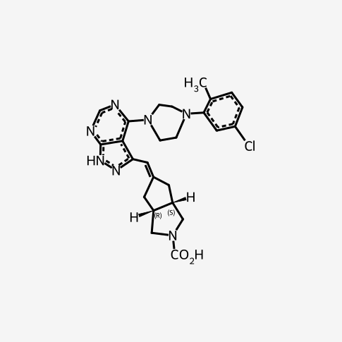 Cc1ccc(Cl)cc1N1CCN(c2ncnc3[nH]nc(C=C4C[C@@H]5CN(C(=O)O)C[C@@H]5C4)c23)CC1